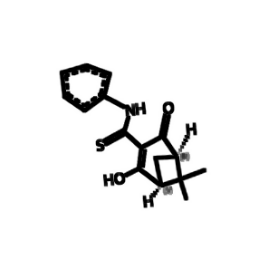 CC1(C)[C@@H]2C[C@H]1C(=O)C(C(=S)Nc1ccccc1)=C2O